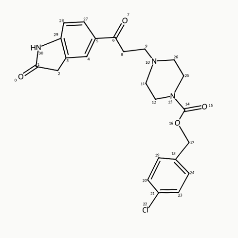 O=C1Cc2cc(C(=O)CCN3CCN(C(=O)OCc4ccc(Cl)cc4)CC3)ccc2N1